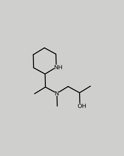 CC(O)CN(C)C(C)C1CCCCN1